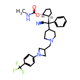 CNC(=O)O[C@@H]1CCC[C@H]1C(C#N)(c1ccccc1)C1CCN(CC2CN(c3ccc(C(F)(F)F)cc3)C2)CC1